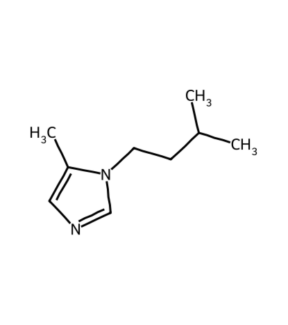 Cc1cncn1CCC(C)C